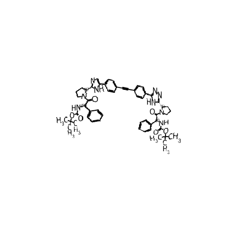 CC(C)(C)OC(=O)N[C@@H](C(=O)N1CCC[C@H]1c1ncc(-c2ccc(C#Cc3ccc(-c4nnc([C@@H]5CCCN5C(=O)[C@H](NC(=O)OC(C)(C)C)c5ccccc5)[nH]4)cc3)cc2)[nH]1)c1ccccc1